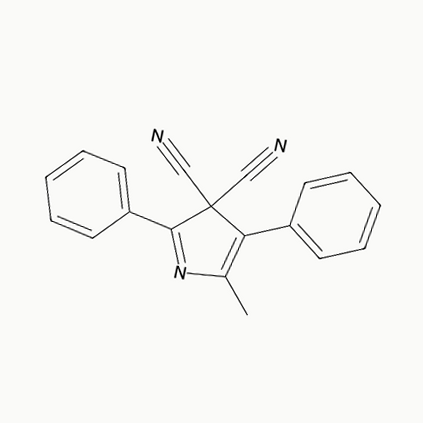 CC1=C(c2ccccc2)C(C#N)(C#N)C(c2ccccc2)=N1